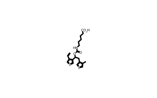 C=Cc1cscc1C(Cc1cscc1C)OC(=O)NCCCCCC(=O)O